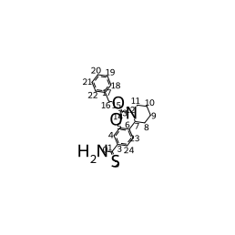 NC(=S)c1ccc(C2CCCCN2C(=O)OCc2ccccc2)cc1